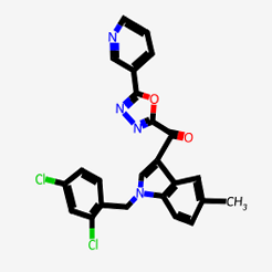 Cc1ccc2c(c1)c(C(=O)c1nnc(-c3cccnc3)o1)cn2Cc1ccc(Cl)cc1Cl